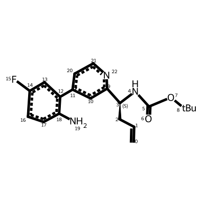 C=CC[C@H](NC(=O)OC(C)(C)C)c1cc(-c2cc(F)ccc2N)ccn1